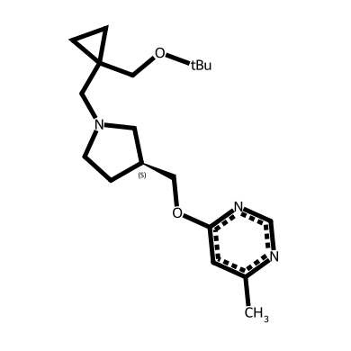 Cc1cc(OC[C@H]2CCN(CC3(COC(C)(C)C)CC3)C2)ncn1